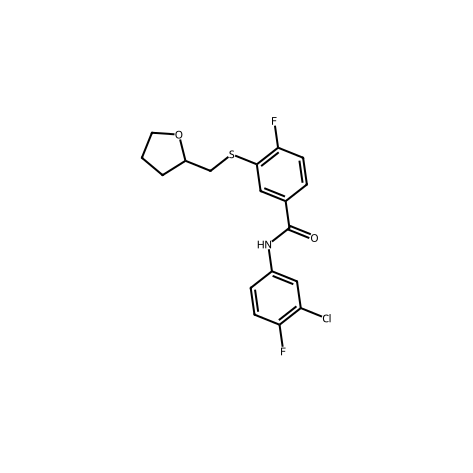 O=C(Nc1ccc(F)c(Cl)c1)c1ccc(F)c(SCC2CCCO2)c1